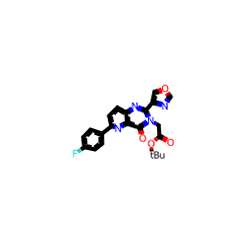 CC(C)(C)OC(=O)Cn1c(-c2cocn2)nc2ccc(-c3ccc(F)cc3)nc2c1=O